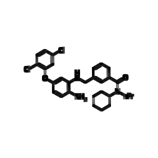 CCCN(C(=O)c1cccc(CNc2cc(Oc3cc(Cl)ccc3Cl)ccc2N)c1)C1CCCCC1